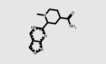 CN1CCC(C(N)=O)CC1c1nc2nncc-2c[nH]1